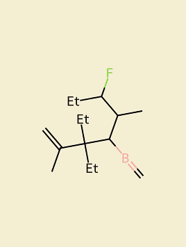 C=BC(C(C)C(F)CC)C(CC)(CC)C(=C)C